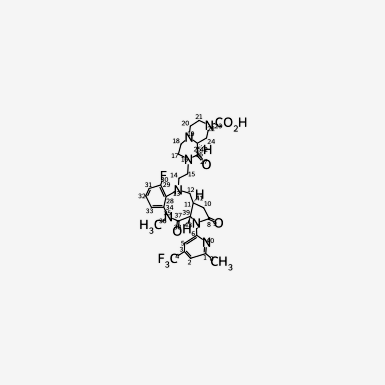 Cc1cc(C(F)(F)F)cc(N2C(=O)C[C@@H]3CN(CCN4CCN5CCN(C(=O)O)C[C@H]5C4=O)c4c(F)cccc4N(C)C(=O)[C@H]32)n1